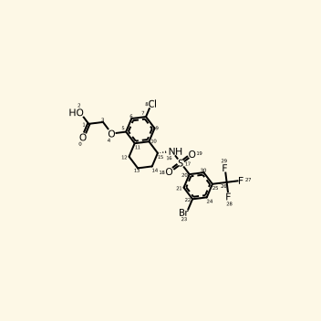 O=C(O)COc1cc(Cl)cc2c1CCC[C@H]2NS(=O)(=O)c1cc(Br)cc(C(F)(F)F)c1